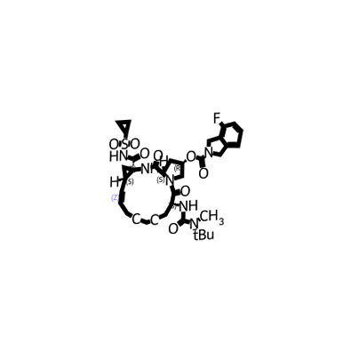 CN(C(=O)N[C@H]1CCCCC/C=C\[C@@H]2C[C@@]2(C(=O)NS(=O)(=O)C2CC2)NC(=O)[C@@H]2C[C@@H](OC(=O)N3Cc4cccc(F)c4C3)CN2C1=O)C(C)(C)C